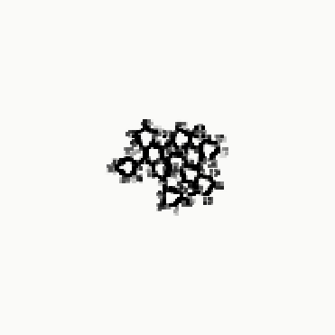 Fc1ccccc1-c1c2ccccc2c(-c2cccc3oc4ccc(-c5c6ccccc6c(-c6ccccc6)c6ccccc56)cc4c23)c2ccccc12